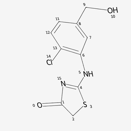 O=C1CSC(Nc2cc(CO)ccc2Cl)=N1